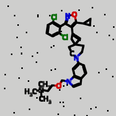 C[Si](C)(C)CCOCn1ccc2ccc(N3CCC4(C=C(c5c(-c6c(Cl)cccc6Cl)noc5C5CC5)C4)CC3)cc21